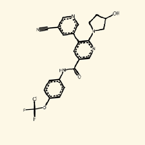 N#Cc1cncc(-c2cc(C(=O)Nc3ccc(OC(F)(F)Cl)cc3)cnc2N2CCC(O)C2)c1